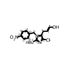 CCCCc1nc(Cl)c(CC=CO)n1Cc1ccc([N+](=O)[O-])cc1